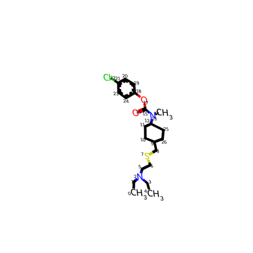 CCN(CC)CCSCC1CCC(N(C)C(=O)Oc2ccc(Cl)cc2)CC1